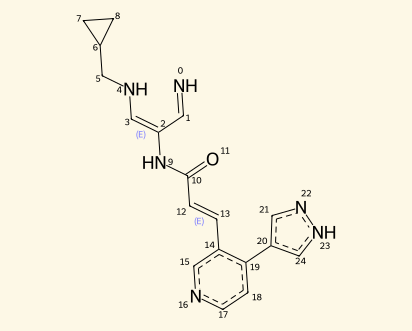 N=C/C(=C\NCC1CC1)NC(=O)/C=C/c1cnccc1-c1cn[nH]c1